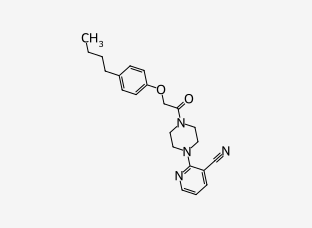 CCCCc1ccc(OCC(=O)N2CCN(c3ncccc3C#N)CC2)cc1